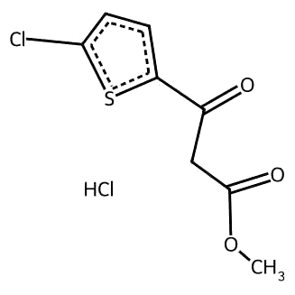 COC(=O)CC(=O)c1ccc(Cl)s1.Cl